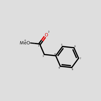 [CH2]OC(=O)Cc1ccccc1